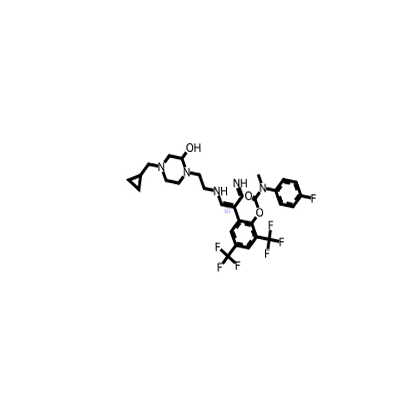 CN(C(=O)Oc1c(/C(C=N)=C/NCCN2CCN(CC3CC3)CC2O)cc(C(F)(F)F)cc1C(F)(F)F)c1ccc(F)cc1